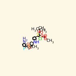 CCOC(=O)COc1c(C(=O)OC(C)(C)C)sc(-c2cccc(N[C@H]3CCC(S(=O)(=O)Cc4cc(N)ccc4F)C(C)(C)C3)c2)c1Cl